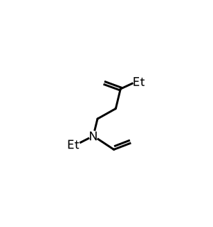 C=CN(CC)CCC(=C)CC